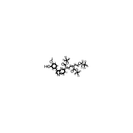 COc1ccc(-c2cnn3ccc(N(CCN(CCO[Si](C)(C)C(C)(C)C)C(=O)OC(C)(C)C)C(=O)OC(C)(C)C)nc23)cc1O